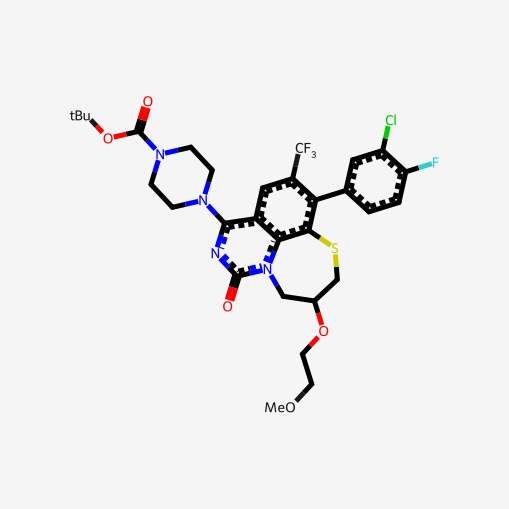 COCCOC1CSc2c(-c3ccc(F)c(Cl)c3)c(C(F)(F)F)cc3c(N4CCN(C(=O)OC(C)(C)C)CC4)nc(=O)n(c23)C1